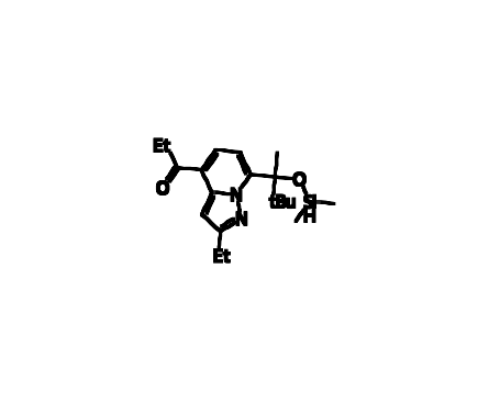 CCC(=O)c1ccc(C(C)(O[SiH](C)C)C(C)(C)C)n2nc(CC)cc12